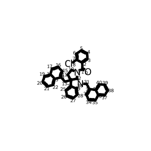 O=C(c1ccccc1Cl)N1CCC2(Cc3cccc4ccccc34)c3ccccc3N(Cc3cccc4ccccc34)C12